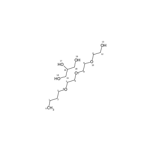 CCCCOCCOCCOCCO.OCC(O)CO